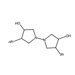 CCCC1CN(N2CC(O)C(C(C)C)C2)CC1O